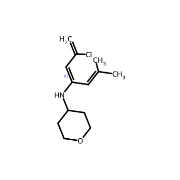 C=C(Cl)/C=C(\C=C(C)C)NC1CCOCC1